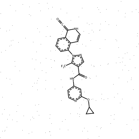 O=C=C1NC=Cc2c1cccc2-n1ncc(C(=O)Nc2ccnc(OC3CC3)c2)c1C(F)(F)F